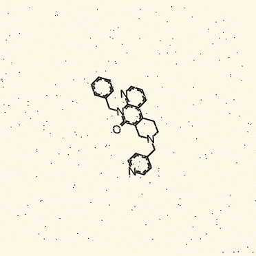 O=c1c2c(c3cccnc3n1Cc1ccccc1)CCN(Cc1ccncc1)C2